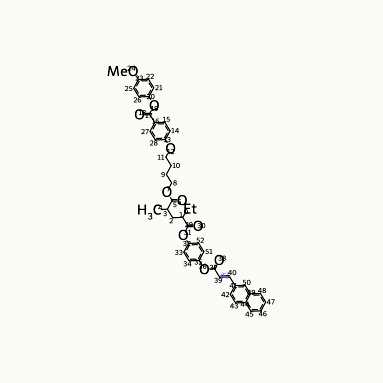 CCC(CC(C)C(=O)OCCCCOc1ccc(C(=O)Oc2ccc(OC)cc2)cc1)C(=O)Oc1ccc(OC(=O)/C=C/c2ccc3ccccc3c2)cc1